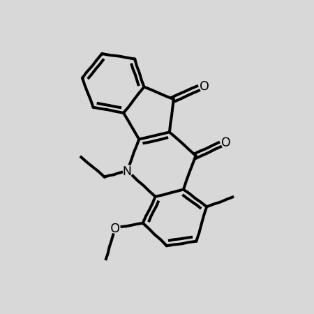 CCn1c2c(c(=O)c3c(C)ccc(OC)c31)C(=O)c1ccccc1-2